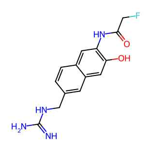 N=C(N)NCc1ccc2cc(NC(=O)CF)c(O)cc2c1